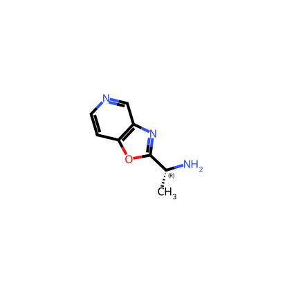 C[C@@H](N)c1nc2cnccc2o1